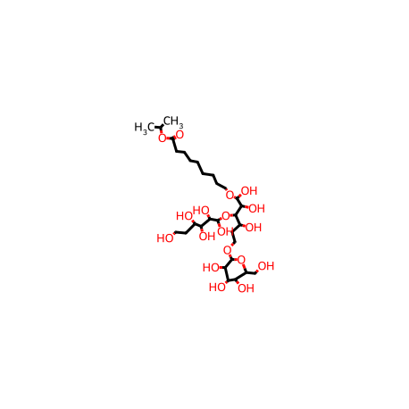 CC(C)OC(=O)CCCCCCCCOC(O)C(O)C(OC(O)C(O)C(O)C(O)CCO)C(O)CCOC1OC(CO)C(O)C(O)C1O